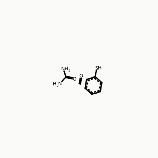 C=O.NC(N)=O.Sc1ccccc1